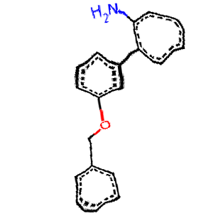 Nc1ccccc1-c1cccc(OCc2ccccc2)c1